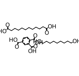 O=C(O)CCCCCCCCCCC(=O)O.O=C(O)c1ccc(C(=O)O)c(C(=O)O)c1.OCCCCCCCCCO